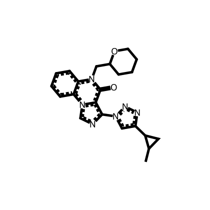 CC1CC1c1cn(-c2ncn3c2c(=O)n(CC2CCCCO2)c2ccccc23)nn1